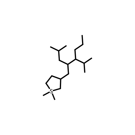 CCCC(C(C)C)C(CC(C)C)CC1CCS(C)(C)C1